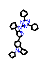 c1ccc(-c2nc(-c3ccccc3)nc(-n3c4ccccc4c4cc(-c5ccc6c(c5)c5ccccc5n6-c5ccccc5)cnc43)n2)cc1